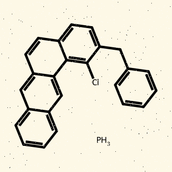 Clc1c(Cc2ccccc2)ccc2ccc3cc4ccccc4cc3c12.P